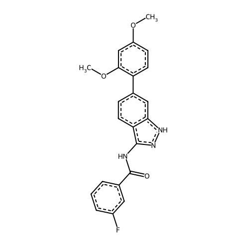 COc1ccc(-c2ccc3c(NC(=O)c4cccc(F)c4)n[nH]c3c2)c(OC)c1